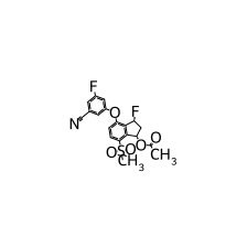 CC(=O)O[C@@H]1C[C@H](F)c2c(Oc3cc(F)cc(C#N)c3)ccc(S(C)(=O)=O)c21